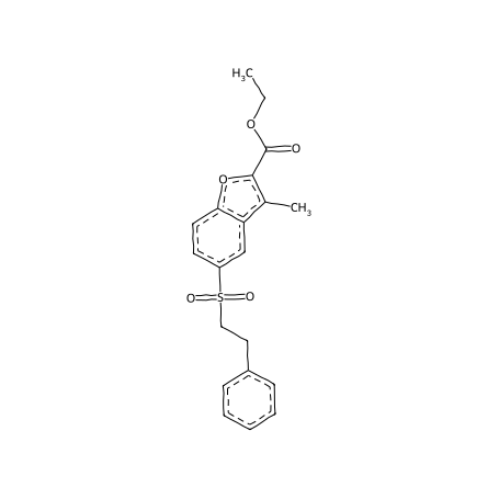 CCOC(=O)c1oc2ccc(S(=O)(=O)CCc3ccccc3)cc2c1C